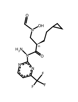 NN(C(=O)[C@H](CCC1CC1)CN(O)C=O)c1nccc(C(F)(F)F)n1